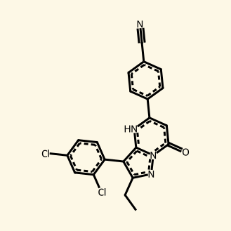 CCc1nn2c(=O)cc(-c3ccc(C#N)cc3)[nH]c2c1-c1ccc(Cl)cc1Cl